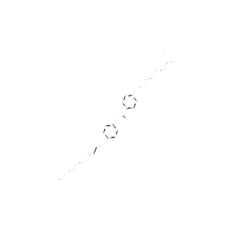 CCCCCCCC=COc1ccc(OC(=O)c2ccc(OCCCCCC(C)CC)cc2)cc1